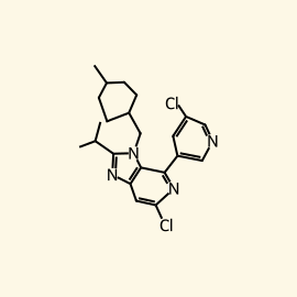 CC1CCC(Cn2c(C(C)C)nc3cc(Cl)nc(-c4cncc(Cl)c4)c32)CC1